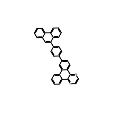 c1ccc2c(c1)cc(-c1ccc(-c3ccc4c(c3)c3ccccc3c3nccnc43)cc1)c1ccccc12